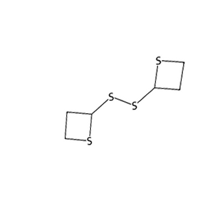 C1CC(SSC2CCS2)S1